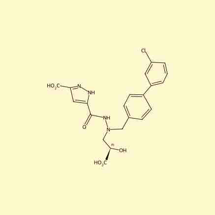 O=C(O)c1cc(C(=O)NN(Cc2ccc(-c3cccc(Cl)c3)cc2)C[C@@H](O)C(=O)O)[nH]n1